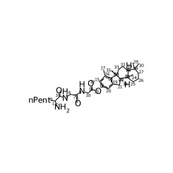 CCCCCC(N)C(=O)NCC(=O)NCC(=O)Oc1cc(C)c2c(c1)C[C@@H]1[C@@]3(C)CCCC(C)(C)[C@@H]3CC[C@@]21C